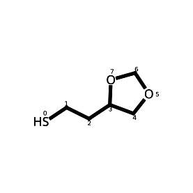 SCCC1COCO1